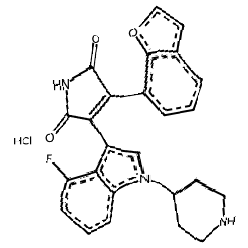 Cl.O=C1NC(=O)C(c2cn(C3CCNCC3)c3cccc(F)c23)=C1c1cccc2ccoc12